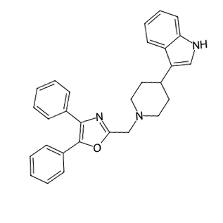 c1ccc(-c2nc(CN3CCC(c4c[nH]c5ccccc45)CC3)oc2-c2ccccc2)cc1